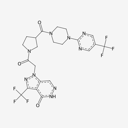 O=C(Cn1nc(C(F)(F)F)c2c(=O)[nH]ncc21)N1CCC(C(=O)N2CCN(c3ncc(C(F)(F)F)cn3)CC2)C1